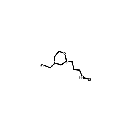 CCNCCC[C@H]1CN(CC(C)C)CCO1